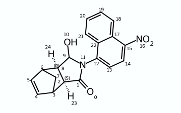 O=C1[C@H]2C3C=CC(C3)[C@H]2C(O)N1c1ccc([N+](=O)[O-])c2ccccc12